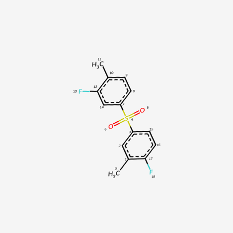 Cc1cc(S(=O)(=O)c2ccc(C)c(F)c2)ccc1F